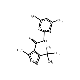 Cc1cc(C)nc(NC(=O)c2c(C(C)(C)C)noc2C)n1